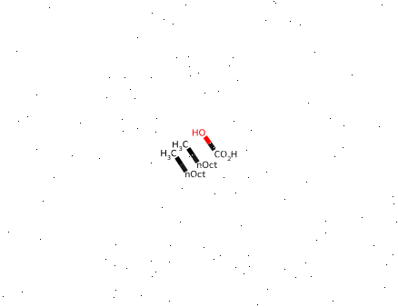 CCCCCCCCC.CCCCCCCCC.O=C(O)O